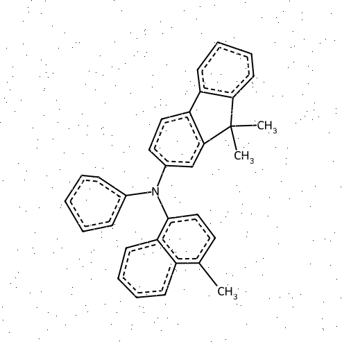 Cc1ccc(N(c2ccccc2)c2ccc3c(c2)C(C)(C)c2ccccc2-3)c2ccccc12